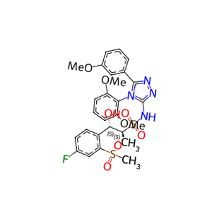 COc1cccc(-c2nnc(NS(=O)(=O)[C@@H](C)[C@@H](O)c3ccc(F)cc3S(C)(=O)=O)n2-c2c(OC)cccc2OC)c1